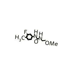 COCCNC(=O)Nc1ccc(C)c(F)c1